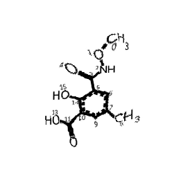 CONC(=O)c1cc(C)cc(C(=O)O)c1O